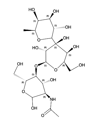 CC(=O)N[C@H]1C(O)O[C@H](CO)[C@@H](O[C@@H]2O[C@H](CO)[C@H](O)[C@@](O)(C3O[C@@H](C)[C@@H](O)[C@@H](O)[C@@H]3O)[C@H]2O)[C@@H]1O